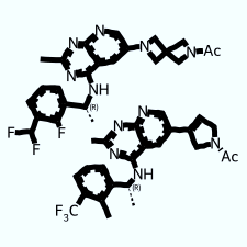 CC(=O)N1CC2(C1)CN(c1cnc3nc(C)nc(N[C@H](C)c4cccc(C(F)F)c4F)c3c1)C2.CC(=O)N1CC=C(c2cnc3nc(C)nc(N[C@H](C)c4cccc(C(F)(F)F)c4C)c3c2)C1